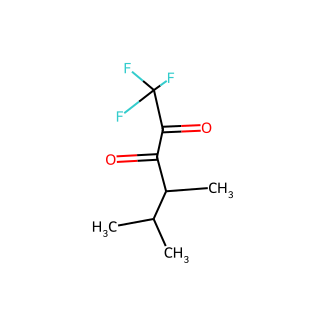 CC(C)C(C)C(=O)C(=O)C(F)(F)F